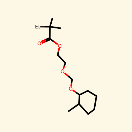 CCC(C)(C)C(=O)OCCOCOC1CCCCC1C